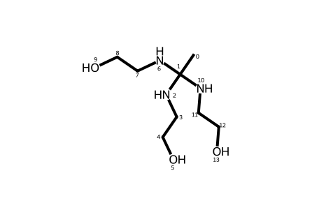 CC(NCCO)(NCCO)NCCO